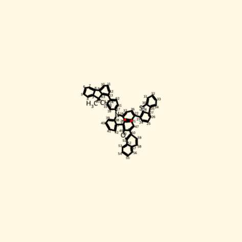 CC1(C)c2ccccc2-c2cccc(-c3ccc(N(c4ccc(-c5cccc6c5sc5ccccc56)cc4)c4ccccc4-c4cccc5c4oc4c6ccccc6ccc54)cc3)c21